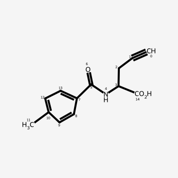 C#CCC(NC(=O)c1ccc(C)cc1)C(=O)O